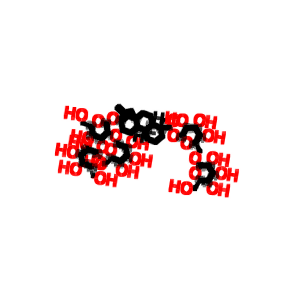 C=C1C[C@@]23CC[C@H]4[C@@](C)(CCC[C@@]4(C)C(=O)O[C@@H]4O[C@H](CO[C@H]5O[C@H](CO)[C@@H](O)[C@H](O)[C@H]5O)[C@@H](O)[C@H](O)[C@H]4O)[C@@H]2CC[C@]1(O[C@@H]1O[C@H](CO)[C@@H](O)[C@H](O[C@@H]2O[C@H](CO)[C@@H](O)[C@H](O)[C@H]2O)[C@H]1O[C@@H]1O[C@H](CO)[C@@H](O)[C@H](O)[C@H]1O)C3